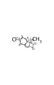 CCC1(c2ccc(Cl)cc2)CCC1